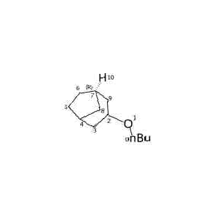 CCCCOC1CC2CC[C@H](C2)C1